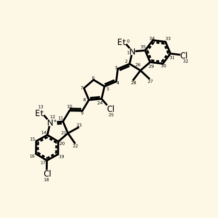 CCN1/C(=C/C=C2\CCC(/C=C/C3=[N+](CC)c4ccc(Cl)cc4C3(C)C)=C2Cl)C(C)(C)c2cc(Cl)ccc21